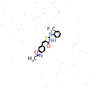 Cc1nc2ccc(C=C3SC(=Nc4ccccc4C(F)(F)F)NC3=O)cc2o1